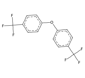 FC(F)(F)c1ccc(Oc2ccc(C(F)(F)F)cc2)cc1